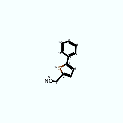 N#CCc1ccc(-c2ccccc2)s1